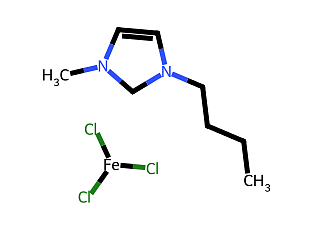 CCCCN1C=CN(C)C1.[Cl][Fe]([Cl])[Cl]